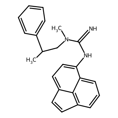 CC(CN(C)C(=N)Nc1ccc2c3c(cccc13)C=C2)c1ccccc1